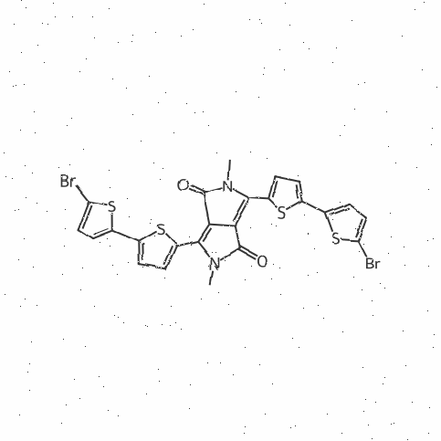 CN1C(=O)C2=C(c3ccc(-c4ccc(Br)s4)s3)N(C)C(=O)C2=C1c1ccc(-c2ccc(Br)s2)s1